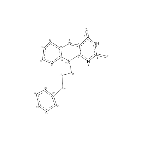 C=c1nc2c(c(=O)[nH]1)=Nc1ccccc1N2CCCc1ccccc1